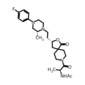 CC(=O)N[C@@H](C)C(=O)N1CCC2(CC1)C[C@H](CCN1CCN(c3ccc(F)cc3)C[C@H]1C)OC2=O